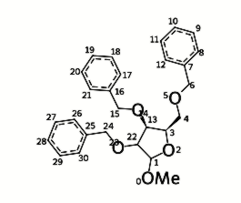 COC1O[C@H](COCc2ccccc2)[C@H](OCc2ccccc2)C1OCc1ccccc1